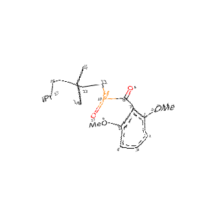 COc1cccc(OC)c1C(=O)[PH](=O)CC(C)(C)CC(C)C